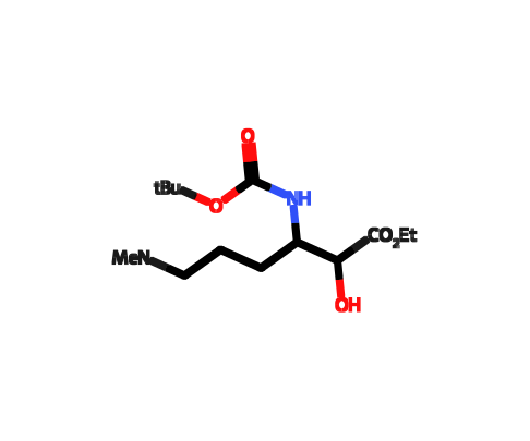 CCOC(=O)C(O)C(CCCNC)NC(=O)OC(C)(C)C